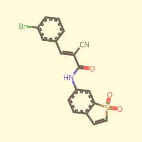 N#CC(=Cc1cccc(Br)c1)C(=O)Nc1ccc2c(c1)S(=O)(=O)C=C2